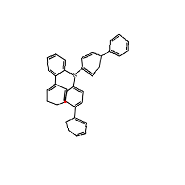 C1=CCCC(C2=CC=C(N(C3=CCC(c4ccccc4)C=C3)c3ccccc3C3=CCCC=C3)CC2)=C1